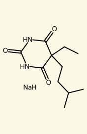 CCC1(CCC(C)C)C(=O)NC(=O)NC1=O.[NaH]